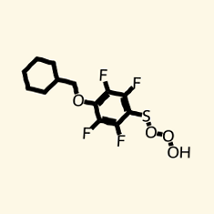 OOOSc1c(F)c(F)c(OCC2CCCCC2)c(F)c1F